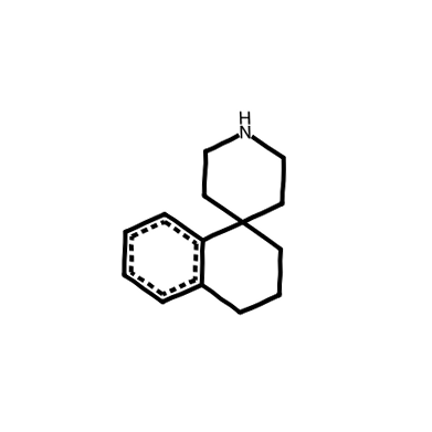 c1ccc2c(c1)CCCC21CCNCC1